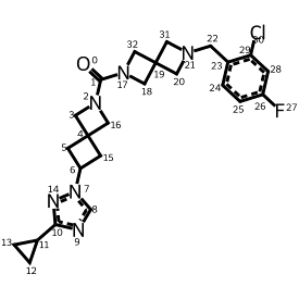 O=C(N1CC2(CC(n3cnc(C4CC4)n3)C2)C1)N1CC2(CN(Cc3ccc(F)cc3Cl)C2)C1